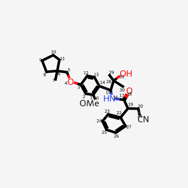 COc1cc(OCC2(C)CCCC2)ccc1C(NC(=O)C(CC#N)c1ccccc1)C(C)(C)O